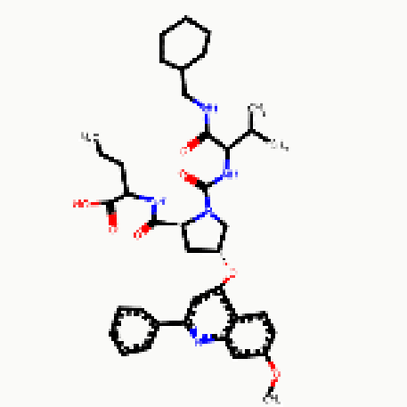 CCCC(NC(=O)[C@@H]1C[C@@H](Oc2cc(-c3ccccc3)nc3cc(OC)ccc23)CN1C(=O)NC(C(=O)NCC1CCCCC1)C(C)C)C(=O)O